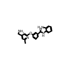 Cc1cc(CN)cc(Oc2cccc(C(=O)Nc3ccccc3N)c2)n1